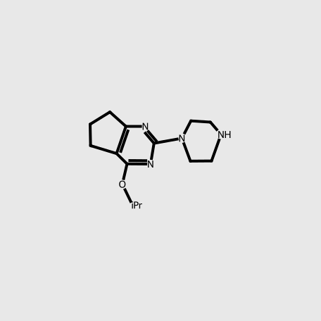 CC(C)Oc1nc(N2CCNCC2)nc2c1CCC2